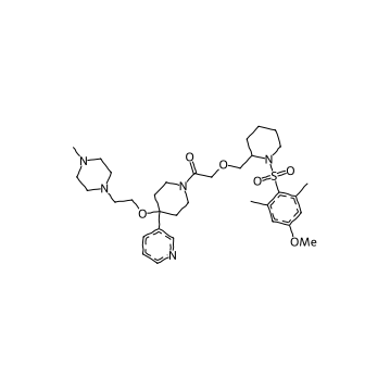 COc1cc(C)c(S(=O)(=O)N2CCCCC2COCC(=O)N2CCC(OCCN3CCN(C)CC3)(c3cccnc3)CC2)c(C)c1